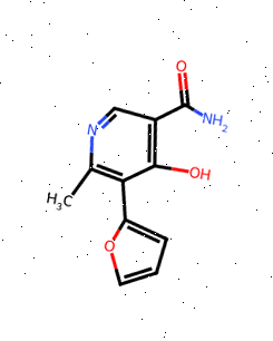 Cc1ncc(C(N)=O)c(O)c1-c1ccco1